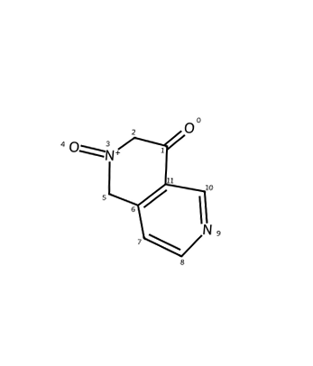 O=C1C[N+](=O)Cc2ccncc21